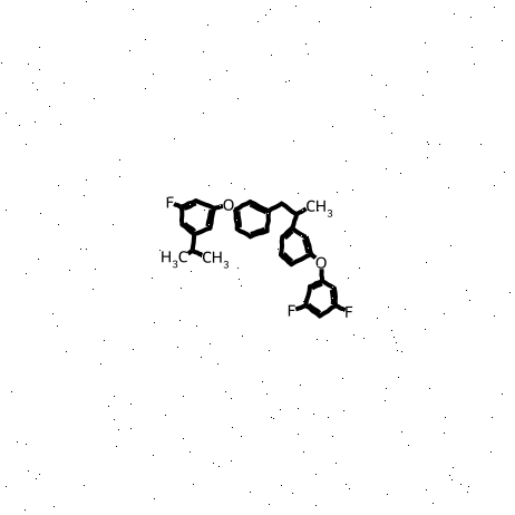 CC(C)c1cc(F)cc(Oc2cccc(CC(C)c3cccc(Oc4cc(F)cc(F)c4)c3)c2)c1